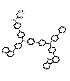 C=CC(=O)Nc1ccc(-c2ccc(N(c3ccc(-c4ccc(N(c5ccc(-c6ccccc6)cc5)c5ccc(-c6cccc7c6sc6ccccc67)cc5)cc4)cc3)c3ccc(-c4cccc5ccccc45)cc3)cc2)cc1